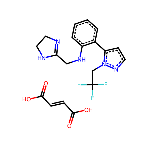 FC(F)(F)Cn1nccc1-c1ccccc1NCC1=NCCN1.O=C(O)C=CC(=O)O